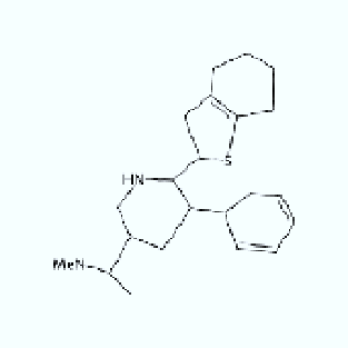 CNC(C)C1CNC(C2CC3=C(CCCC3)S2)C(C2C=CC=CC2)C1